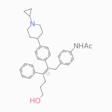 CC(=O)Nc1ccc(C/C(=C(\CCCO)c2ccccc2)c2ccc(C3CCN(C4CC4)CC3)cc2)cc1